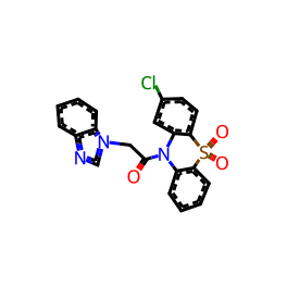 O=C(Cn1cnc2ccccc21)N1c2ccccc2S(=O)(=O)c2ccc(Cl)cc21